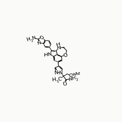 COC[C@](C)(C(N)=O)n1cc(-c2cc3c4c(c(-c5ccc6oc(N)nc6c5)[nH]c4c2)NCCO3)cn1